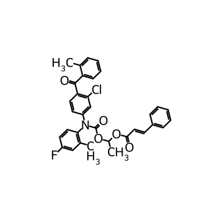 Cc1ccccc1C(=O)c1ccc(N(C(=O)OC(C)OC(=O)C=Cc2ccccc2)c2ccc(F)cc2C)cc1Cl